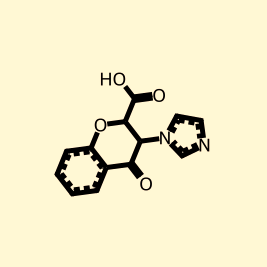 O=C(O)C1Oc2ccccc2C(=O)C1n1ccnc1